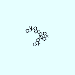 CC1(C)c2ccccc2-c2ccc(N(c3ccc4c(c3)-c3ccc5c(C6=Nc7ccccc7C6)cccc5c3C4)c3cccc4c3-c3ccccc3C4(C)C)cc21